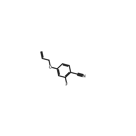 C=CCOc1ccc(C#N)c(F)c1